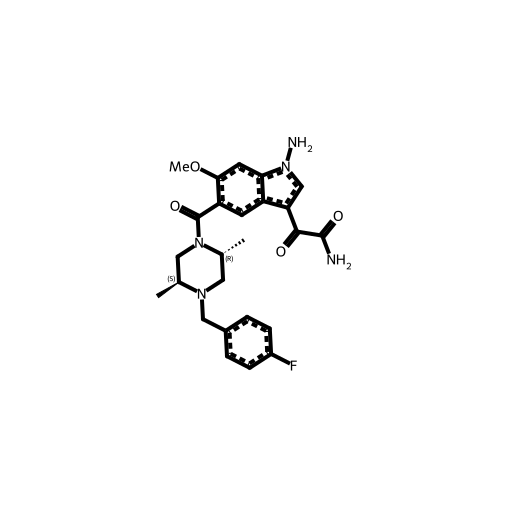 COc1cc2c(cc1C(=O)N1C[C@H](C)N(Cc3ccc(F)cc3)C[C@H]1C)c(C(=O)C(N)=O)cn2N